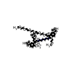 C=C(/C=C/C=C/C=C/C=C1/N(CCOC)c2ccc(S(=O)(=O)O)cc2C1(C)CCOCCOCCOCCOCCOCCOC)C(C)(CCCS(=O)(=O)O)c1cc(S(=O)(=O)O)ccc1C